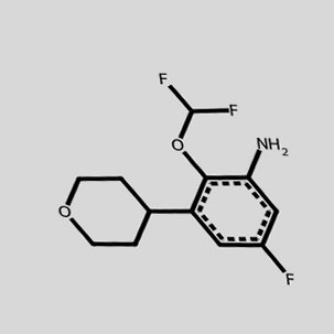 Nc1cc(F)cc(C2CCOCC2)c1OC(F)F